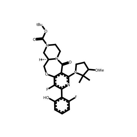 COC1CCN(c2nc(-c3c(O)cccc3F)c(F)c3c2C(=O)N2CCN(C(=O)OC(C)(C)C)C[C@@H]2CO3)C1(C)C